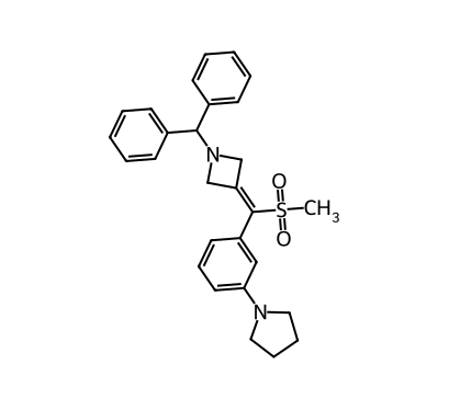 CS(=O)(=O)C(=C1CN(C(c2ccccc2)c2ccccc2)C1)c1cccc(N2CCCC2)c1